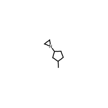 CC1CCC(N2CC2)C1